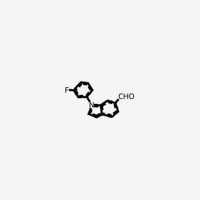 O=Cc1ccc2ccn(-c3cccc(F)c3)c2c1